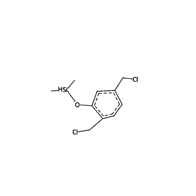 C[SiH](C)Oc1cc(CCl)ccc1CCl